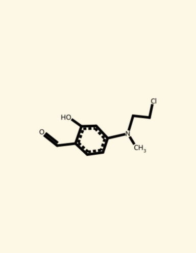 CN(CCCl)c1ccc(C=O)c(O)c1